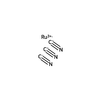 [C-]#N.[C-]#N.[C-]#N.[Ru+3]